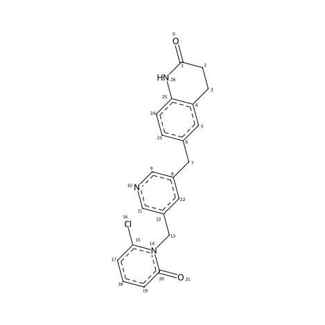 O=C1CCc2cc(Cc3cncc(Cn4c(Cl)cccc4=O)c3)ccc2N1